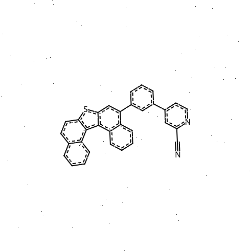 N#Cc1cc(-c2cccc(-c3cc4sc5ccc6ccccc6c5c4c4ccccc34)c2)ccn1